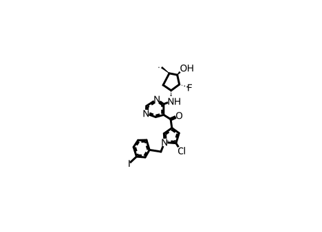 [CH2][C@@H]1C[C@@H](Nc2ncncc2C(=O)c2cc(Cl)n(Cc3cccc(I)c3)c2)[C@@H](F)[C@@H]1O